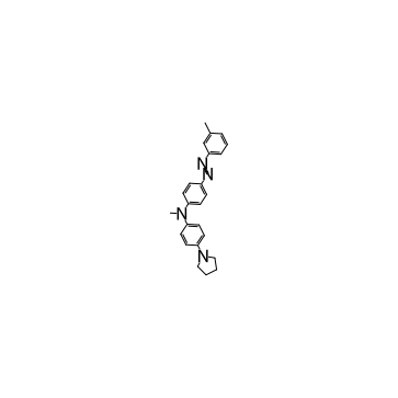 Cc1cccc(/N=N/c2ccc(N(C)c3ccc(N4CCCC4)cc3)cc2)c1